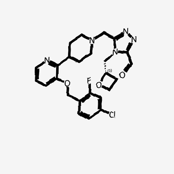 O=Cc1nnc(CN2CCC(c3ncccc3OCc3ccc(Cl)cc3F)CC2)n1C[C@@H]1CCO1